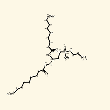 CCCCCCCCCCCCCCCCCC(=O)OC[C@@H](CO[P@@](=O)(O)OCCN)OC(=O)CCCCCCCCCCCCCCCCC